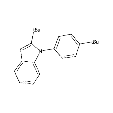 CC(C)(C)c1ccc(-n2c(C(C)(C)C)cc3ccccc32)cc1